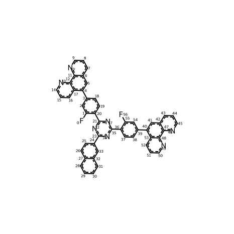 Fc1cc(-c2cc3cccnc3c3ncccc23)ccc1-c1nc(-c2ccc3ccccc3c2)nc(-c2ccc(-c3cc4cccnc4c4ncccc34)cc2F)n1